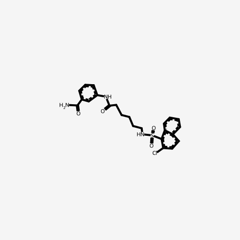 NC(=O)c1cccc(NC(=O)CCCCCNS(=O)(=O)c2c(Cl)ccc3ccccc23)c1